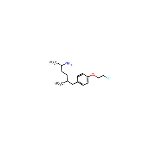 N[C@@H](CCC(Cc1ccc(OCCF)cc1)C(=O)O)C(=O)O